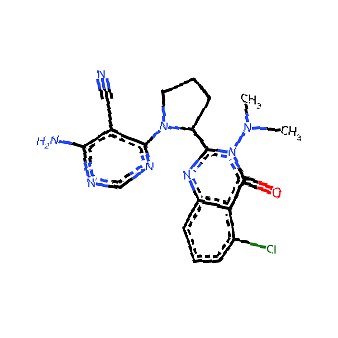 CN(C)n1c(C2CCCN2c2ncnc(N)c2C#N)nc2cccc(Cl)c2c1=O